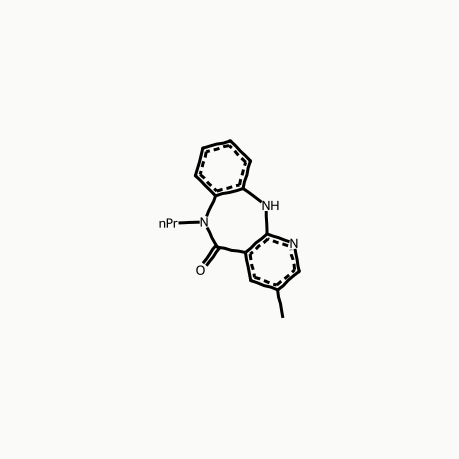 CCCN1C(=O)c2cc(C)cnc2Nc2ccccc21